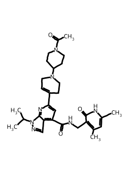 CC(=O)N1CCC(N2CC=C(c3cc(C(=O)NCc4c(C)cc(C)[nH]c4=O)c4cnn(C(C)C)c4n3)CC2)CC1